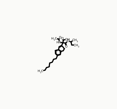 CCCCCCCCc1ccc2c(c1)CCC(C(NC(C)=O)(C(=O)O)C(=O)OC(C)CC)=C2